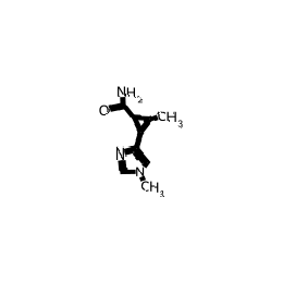 CC1C(C(N)=O)C1c1cn(C)cn1